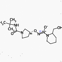 CC(C)(C)NC(=O)N1CC[C@@H](O/N=[N+](\[O-])N2CCCCC2CO)C1